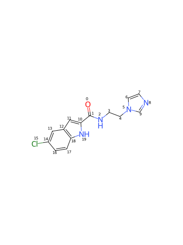 O=C(NCCn1ccnc1)c1cc2cc(Cl)ccc2[nH]1